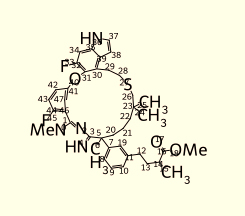 CN/C1=N\C(=N)C(C)(c2cccc(CCC(C)C(=O)OC)c2)CCCC(C)(C)CSCCc2c(c(F)cc3[nH]ccc23)Oc2ccc(F)c1c2